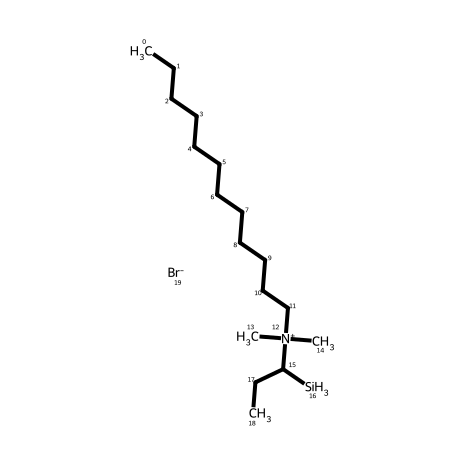 CCCCCCCCCCCC[N+](C)(C)C([SiH3])CC.[Br-]